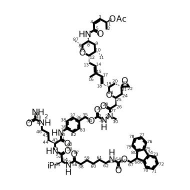 CC(=O)O[C@@H](C)/C=C\C(=O)N[C@@H]1C[C@H](C)[C@H](C/C=C(C)/C=C/[C@@H]2C[C@]3(CO3)C[C@@H](CC(=O)N(C)NC(=O)OCc3ccc(NC(=O)[C@H](CCCNC(N)=O)NC(=O)[C@@H](NC(=O)CCCCCNC(=O)OCC4c5ccccc5-c5ccccc54)C(C)C)cc3)O2)O[C@@H]1C